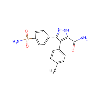 Cc1ccc(-c2c(-c3ccc(S(N)(=O)=O)cc3)n[nH]c2C(N)=O)cc1